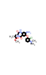 COC(=O)[C@H](C)C[C@H]1NC(=O)c2cc(Oc3cccc(N(C)C)c3Cl)c(N)cc2NC1=O